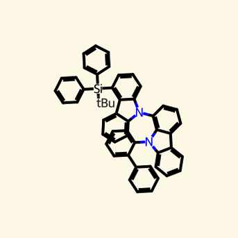 CC(C)(C)[Si](c1ccccc1)(c1ccccc1)c1cccc2c1c1ccccc1n2-c1cccc2c3ccccc3n(-c3ccccc3-c3ccccc3)c12